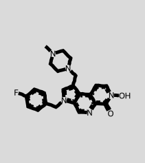 CN1CCN(Cc2cn(Cc3ccc(F)cc3)c3cnc4c(=O)n(O)ccc4c23)CC1